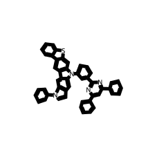 c1ccc(-c2cc(-c3ccccc3)nc(-c3cccc(-n4c5cc6ccn(-c7ccccc7)c6cc5c5cc6c(cc54)sc4ccccc46)c3)n2)cc1